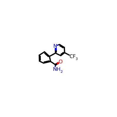 NC(=O)c1ccccc1-c1cc(C(F)(F)F)ccn1